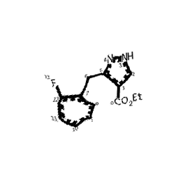 CCOC(=O)c1c[nH]nc1Cc1ccccc1F